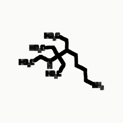 NCCCCC(CC(=O)O)C(CC(=O)O)(CC(=O)O)NCC(=O)O